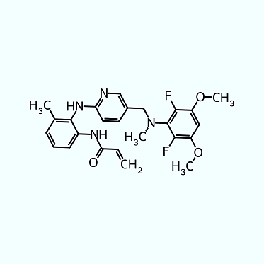 C=CC(=O)Nc1cccc(C)c1Nc1ccc(CN(C)c2c(F)c(OC)cc(OC)c2F)cn1